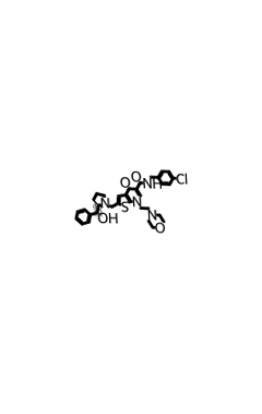 O=C(NCc1ccc(Cl)cc1)c1cn(CCN2CCOCC2)c2sc(CN3CCC[C@@H]3[C@@H](O)c3ccccc3)cc2c1=O